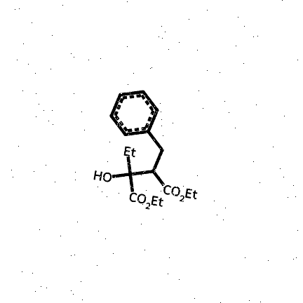 CCOC(=O)C(Cc1ccccc1)C(O)(CC)C(=O)OCC